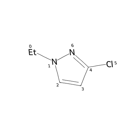 CCn1ccc(Cl)n1